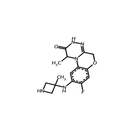 CC1C(=O)NN=C2COc3cc(F)c(NC4(C)CNC4)cc3N21